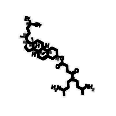 CC[C@H](CC[C@@H](C)[C@H]1CC[C@H]2[C@@H]3CC=C4C[C@@H](OC(=O)CCC(=O)N(CCC(C)N)CCC(C)N)CC[C@]4(C)[C@H]3CC[C@]12C)C(C)C